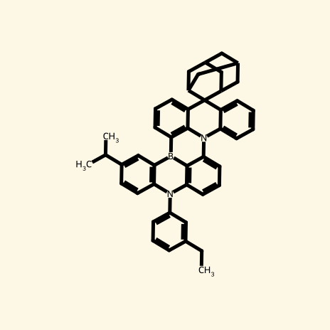 CCc1cccc(N2c3ccc(C(C)C)cc3B3c4cccc5c4N(c4ccccc4C54C5CC6CC(C5)CC4C6)c4cccc2c43)c1